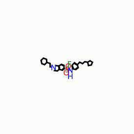 O=S(=O)(Nc1ccc(CCCC2CCCC2)cc1F)c1ccc2c(c1)CCN(CCC1CCCCC1)C2